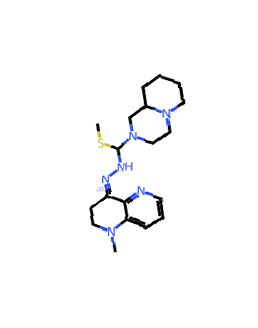 CSC(N/N=C1/CCN(C)c2cccnc21)N1CCN2CCCCC2C1